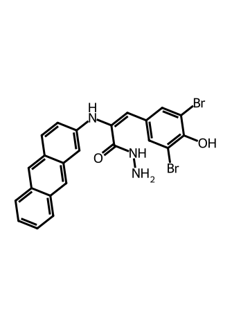 NNC(=O)C(=Cc1cc(Br)c(O)c(Br)c1)Nc1ccc2cc3ccccc3cc2c1